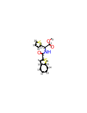 COC(=O)C(NC(=O)c1cc2ccccc2s1)c1cccs1